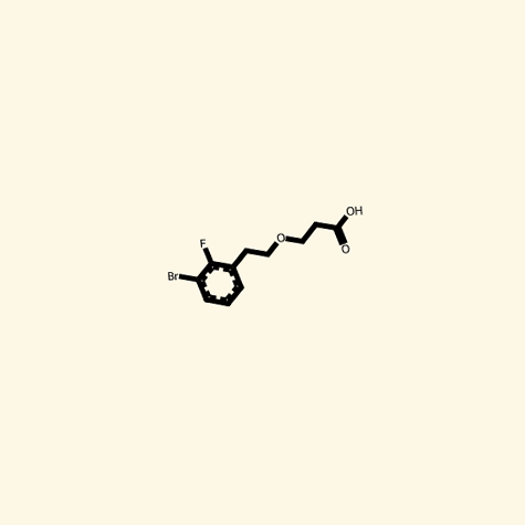 O=C(O)CCOCCc1cccc(Br)c1F